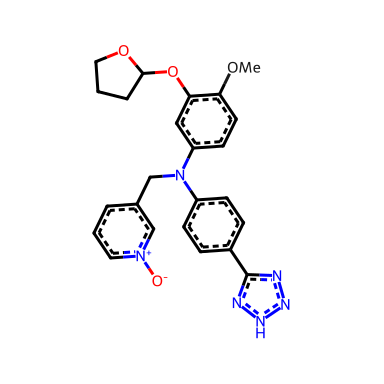 COc1ccc(N(Cc2ccc[n+]([O-])c2)c2ccc(-c3nn[nH]n3)cc2)cc1OC1CCCO1